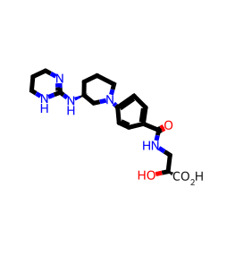 O=C(NC[C@H](O)C(=O)O)c1ccc(N2CCC[C@H](NC3=NCCCN3)C2)cc1